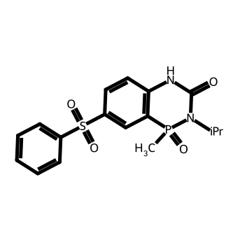 CC(C)N1C(=O)Nc2ccc(S(=O)(=O)c3ccccc3)cc2P1(C)=O